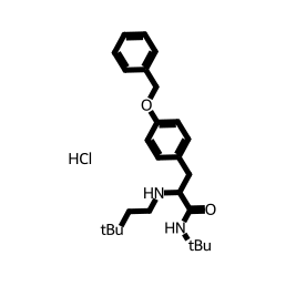 CC(C)(C)CCNC(Cc1ccc(OCc2ccccc2)cc1)C(=O)NC(C)(C)C.Cl